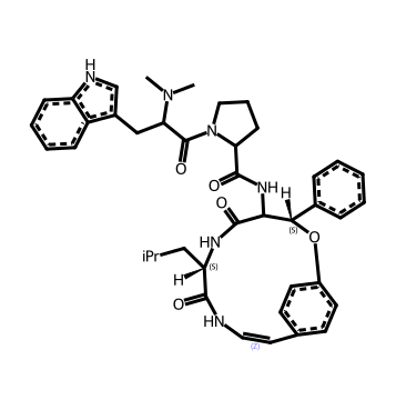 CC(C)C[C@@H]1NC(=O)C(NC(=O)C2CCCN2C(=O)C(Cc2c[nH]c3ccccc23)N(C)C)[C@H](c2ccccc2)Oc2ccc(cc2)/C=C\NC1=O